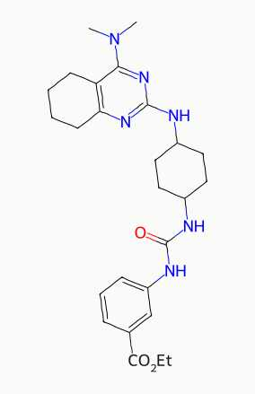 CCOC(=O)c1cccc(NC(=O)NC2CCC(Nc3nc4c(c(N(C)C)n3)CCCC4)CC2)c1